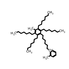 CCCCCCCc1c(C)c(CCCCCCC)c(CCCCCCC)c(CCCCCCC)c1CCCCCCC.Cc1ccccc1